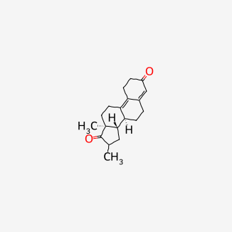 CC1C[C@H]2[C@@H]3CCC4=CC(=O)CCC4=C3CC[C@]2(C)C1=O